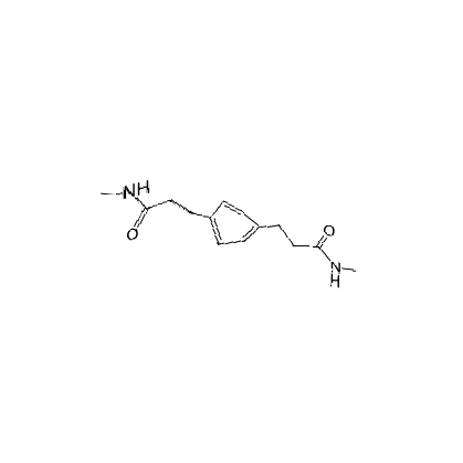 CNC(=O)CCc1ccc(CCC(=O)NC)cc1